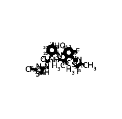 Cc1nc(-c2c(F)cc(O)c3c2C(C)(C)CN3c2ccccc2NC(=O)Nc2csc(Cl)n2)sc1I